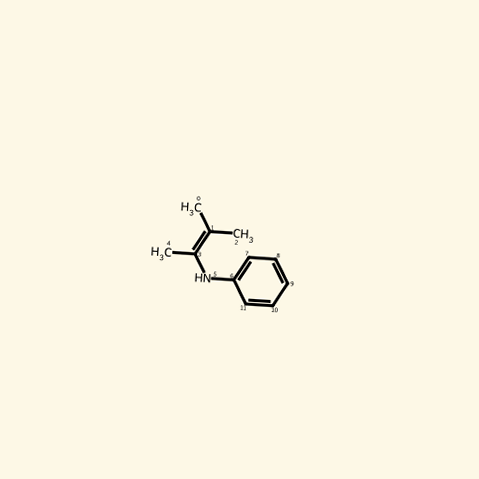 CC(C)=C(C)Nc1ccccc1